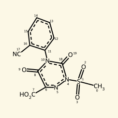 CS(=O)(=O)n1nc(C(=O)O)c(=O)n(-c2ccccc2C#N)c1=O